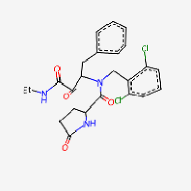 CCNC(=O)C(=O)C(Cc1ccccc1)N(Cc1c(Cl)cccc1Cl)C(=O)C1CCC(=O)N1